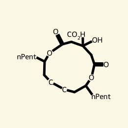 CCCCCC1CCCCC(CCCCC)OC(=O)CC(O)(C(=O)O)CC(=O)O1